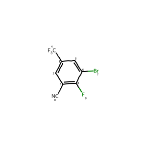 N#Cc1cc(C(F)(F)F)cc(Br)c1F